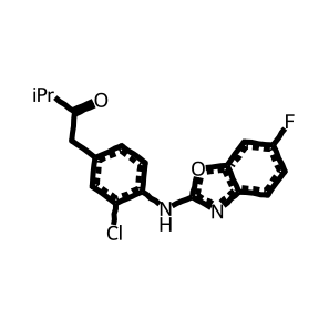 CC(C)C(=O)Cc1ccc(Nc2nc3ccc(F)cc3o2)c(Cl)c1